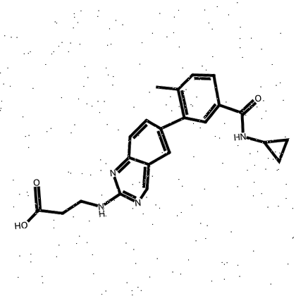 Cc1ccc(C(=O)NC2CC2)cc1-c1ccc2nc(NCCC(=O)O)ncc2c1